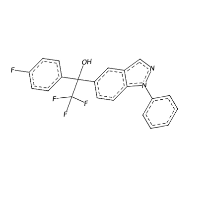 OC(c1ccc(F)cc1)(c1ccc2c(cnn2-c2ccccc2)c1)C(F)(F)F